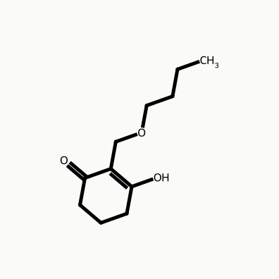 CCCCOCC1=C(O)CCCC1=O